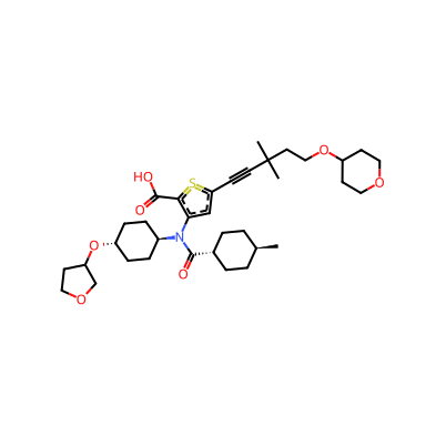 CC(C)(C#Cc1cc(N(C(=O)[C@H]2CC[C@H](C)CC2)[C@H]2CC[C@H](OC3CCOC3)CC2)c(C(=O)O)s1)CCOC1CCOCC1